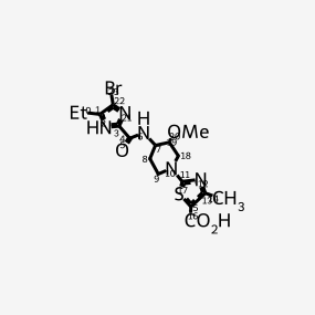 CCc1[nH]c(C(=O)NC2CCN(c3nc(C)c(C(=O)O)s3)C[C@@H]2OC)nc1Br